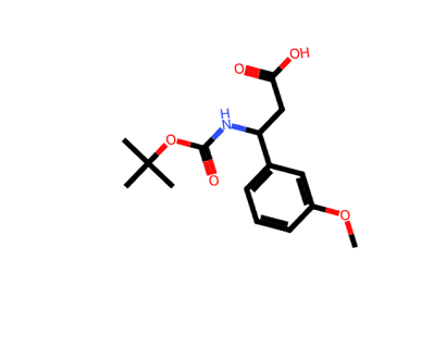 COc1cccc(C(CC(=O)O)NC(=O)OC(C)(C)C)c1